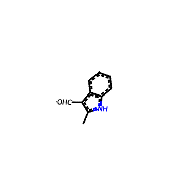 Cc1[nH]c2ccccc2c1[C]=O